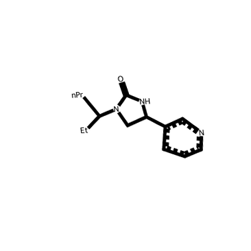 CCCC(CC)N1CC(c2cccnc2)NC1=O